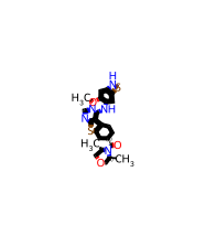 COc1cc2[nH]sc2cc1Nc1ncnc2sc3c(c12)CC[C@H](C(=O)N1[C@H](C)COC[C@@H]1C)C3